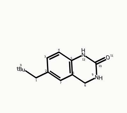 CC(C)(C)Cc1ccc2c(c1)CNC(=O)N2